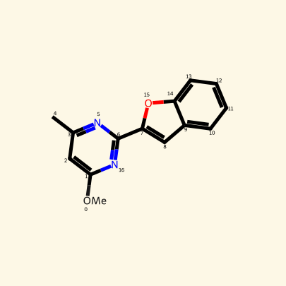 COc1cc(C)nc(-c2cc3ccccc3o2)n1